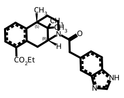 CCOC(=O)c1cccc2c1C[C@H]1N(C(=O)Cc3ccc4[nH]cnc4c3)CC[C@]2(C)C1(C)C